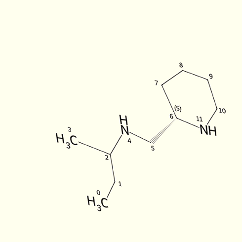 CCC(C)NC[C@@H]1CCCCN1